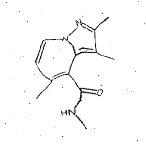 CNC(=O)c1c(C)ccn2nc(C)c(C)c12